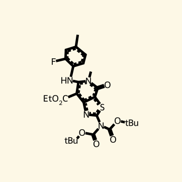 CCOC(=O)c1c(Nc2ccc(C)cc2F)n(C)c(=O)c2sc(N(C(=O)OC(C)(C)C)C(=O)OC(C)(C)C)nc12